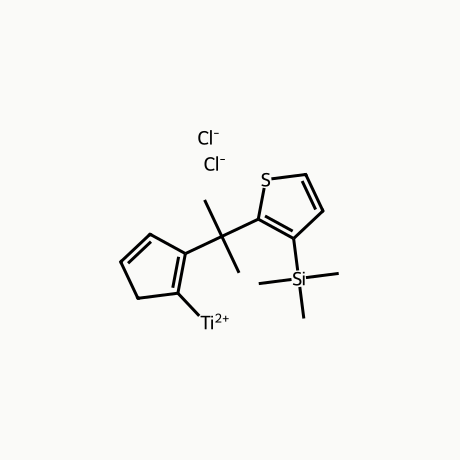 CC(C)(C1=[C]([Ti+2])CC=C1)c1sccc1[Si](C)(C)C.[Cl-].[Cl-]